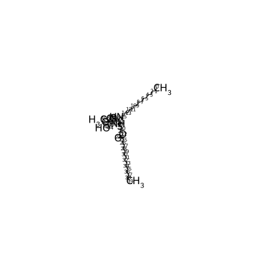 CCCCCCCCCCCCCCCCN[C@@H](CSCCOC(=O)CCCCCCCCCCCCCCC)C(=O)N[C@@H](CO)C(=O)OC